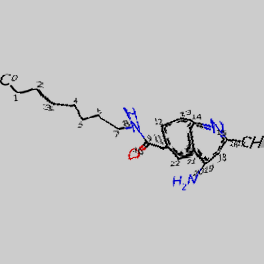 CCCCCCCCNC(=O)c1ccc2nc(C)cc(N)c2c1